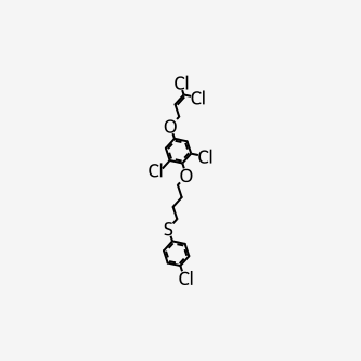 ClC(Cl)=CCOc1cc(Cl)c(OCCCCSc2ccc(Cl)cc2)c(Cl)c1